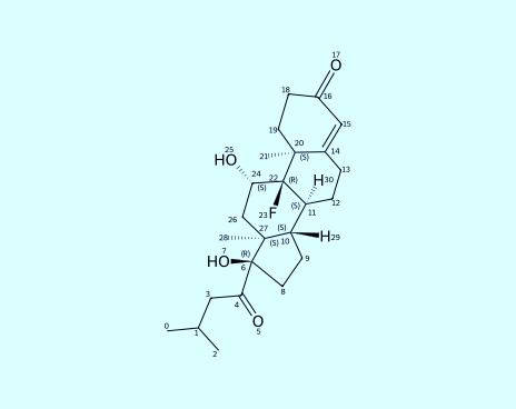 CC(C)CC(=O)[C@@]1(O)CC[C@H]2[C@@H]3CCC4=CC(=O)CC[C@]4(C)[C@@]3(F)[C@@H](O)C[C@@]21C